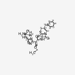 CCON=C(C(=O)NC1C(=O)N2C=C(C[n+]3ccccc3)CS[C@@H]12)c1nsc(NP(N)(N)=O)n1